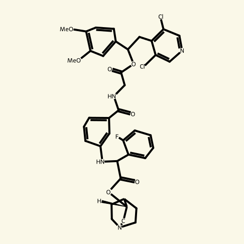 COc1ccc(C(Cc2c(Cl)cncc2Cl)OC(=O)CNC(=O)c2cccc(NC(C(=O)O[C@H]3CN4CCC3CC4)c3ccccc3F)c2)cc1OC